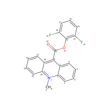 C[n+]1c2ccccc2c(C(=O)Oc2c(F)cccc2F)c2ccccc21